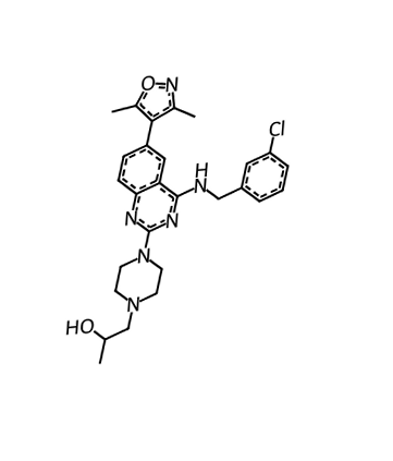 Cc1noc(C)c1-c1ccc2nc(N3CCN(CC(C)O)CC3)nc(NCc3cccc(Cl)c3)c2c1